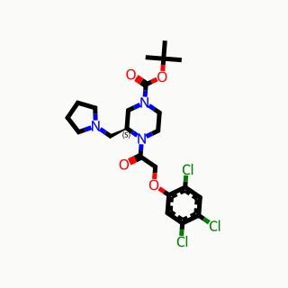 CC(C)(C)OC(=O)N1CCN(C(=O)COc2cc(Cl)c(Cl)cc2Cl)[C@@H](CN2CCCC2)C1